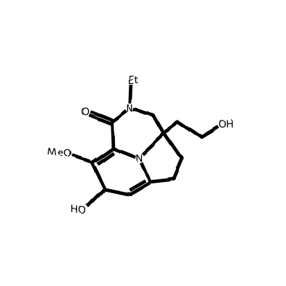 CCN1CC2(CCO)CCC3=CC(O)C(OC)=C(C1=O)N32